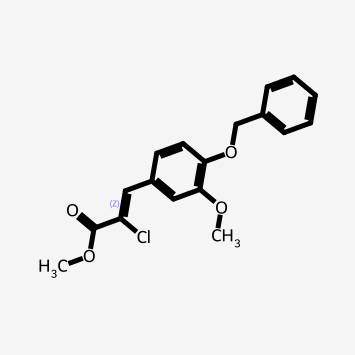 COC(=O)/C(Cl)=C/c1ccc(OCc2ccccc2)c(OC)c1